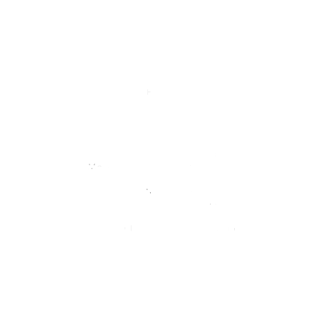 CCOC(=O)Oc1cn(CC(F)(F)F)c2c(OC)c(F)c(F)cc2c1=O